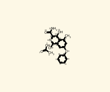 CC(=O)O.Cc1cc(Oc2ccccc2)cc2c(Cl)nc(C(N)=O)c(O)c12